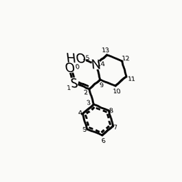 O=S=C(c1ccccc1)C1CCCCN1O